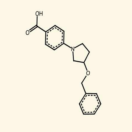 O=C(O)c1ccc(N2CCC(OCc3ccccc3)C2)cc1